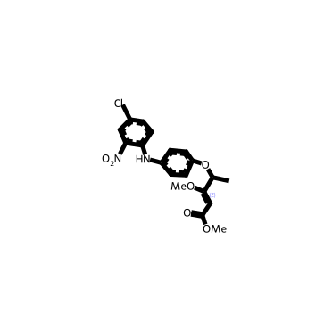 COC(=O)/C=C(\OC)C(C)Oc1ccc(Nc2ccc(Cl)cc2[N+](=O)[O-])cc1